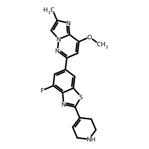 COc1cc(-c2cc(F)c3nc(C4=CCNCC4)sc3c2)nn2cc(C)nc12